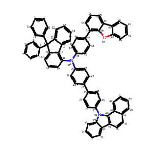 c1ccc(C2(c3ccccc3)c3ccccc3-c3c(N(c4ccc(-c5ccc(-n6c7ccccc7c7ccc8ccccc8c76)cc5)cc4)c4ccc(-c5cccc6c5oc5ccccc56)cc4)cccc32)cc1